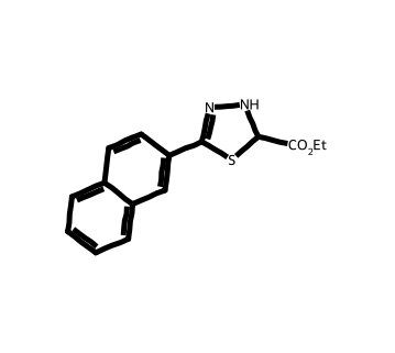 CCOC(=O)C1NN=C(c2ccc3ccccc3c2)S1